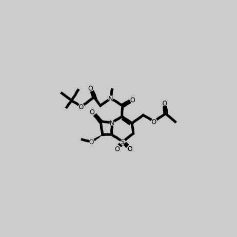 CO[C@H]1C(=O)N2C(C(=O)N(C)CC(=O)OC(C)(C)C)=C(COC(C)=O)CS(=O)(=O)C12